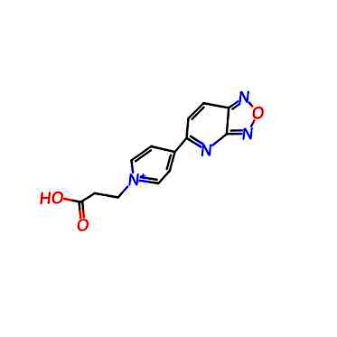 O=C(O)CC[n+]1ccc(-c2ccc3nonc3n2)cc1